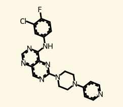 Fc1ccc(Nc2ncnc3cnc(N4CCN(c5ccncc5)CC4)nc23)cc1Cl